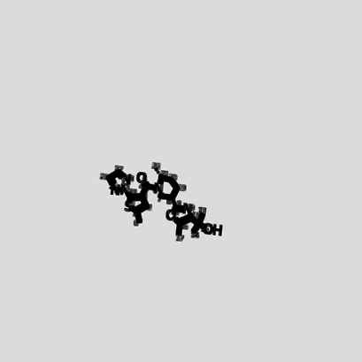 Cc1cc(C(=O)N2C[C@H](c3nc(C(C)(C)O)c(C)o3)CC[C@H]2C)c(-n2nccn2)s1